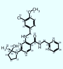 COc1ccc(CNc2nc(N3CCC[C@]3(C)O)ncc2C(=O)NCc2ncccn2)cc1Cl